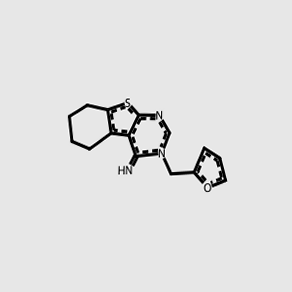 N=c1c2c3c(sc2ncn1Cc1ccco1)CCCC3